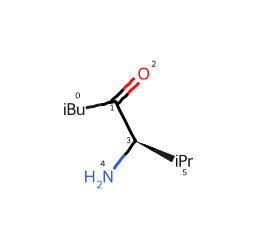 CCC(C)C(=O)[C@H](N)C(C)C